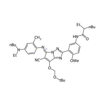 CCCCC(CC)C(=O)Nc1ccc(OC)c(-c2nc3n(n2)/C(=N/c2ccc(N(CC)CCCC)cc2C)C(C#N)=C3OCOC(C)(C)C)c1